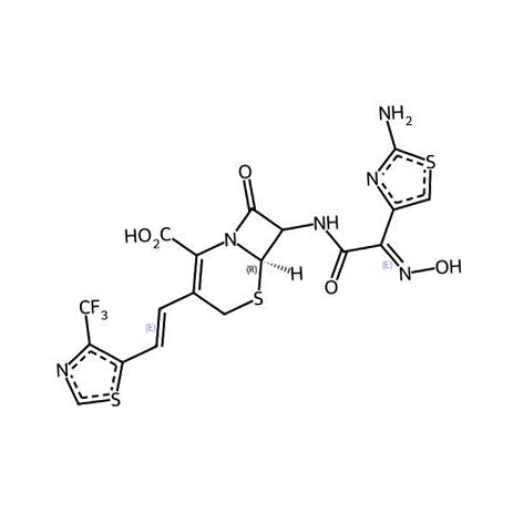 Nc1nc(/C(=N\O)C(=O)NC2C(=O)N3C(C(=O)O)=C(/C=C/c4scnc4C(F)(F)F)CS[C@H]23)cs1